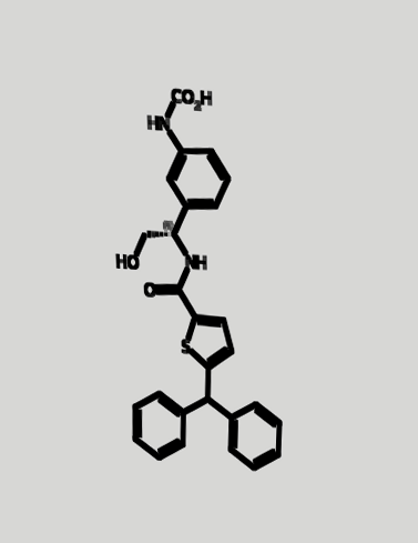 O=C(O)Nc1cccc([C@@H](CO)NC(=O)c2ccc(C(c3ccccc3)c3ccccc3)s2)c1